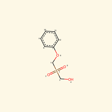 O=S(=O)(CO)COc1ccccc1